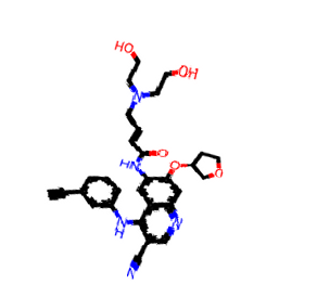 C#Cc1cccc(Nc2c(C#N)cnc3cc(O[C@H]4CCOC4)c(NC(=O)/C=C/CN(CCO)CCO)cc23)c1